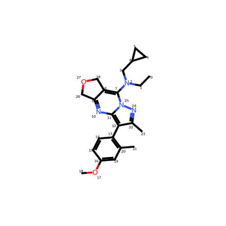 CCN(CC1CC1)c1c2c(nc3c(-c4ccc(OC)cc4C)c(C)nn13)COC2